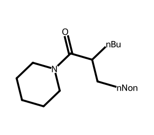 CCCCCCCCCCC(CCCC)C(=O)N1CCCCC1